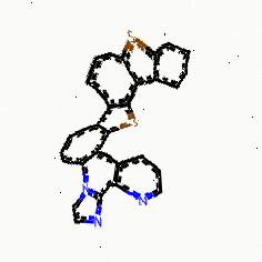 c1ccc2c(c1)sc1ccc3c4ccc5c(c6cccnc6c6nccn56)c4sc3c12